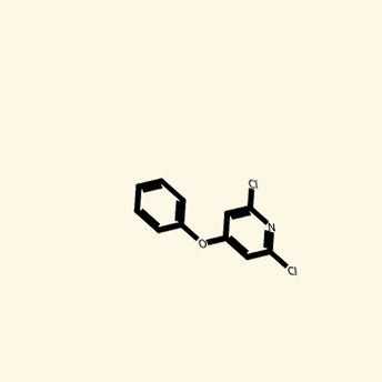 Clc1cc(Oc2ccccc2)cc(Cl)n1